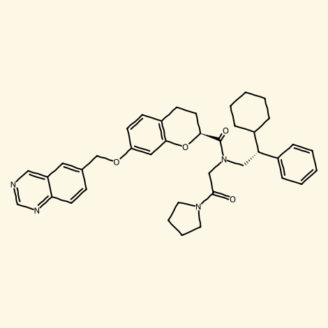 O=C(CN(C[C@@H](c1ccccc1)C1CCCCC1)C(=O)[C@@H]1CCc2ccc(OCc3ccc4ncncc4c3)cc2O1)N1CCCC1